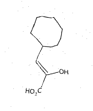 O=C(O)/C(O)=C/C1CCCCC1